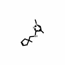 Cc1cn(C)nc1NCC1(C)CC=CC1